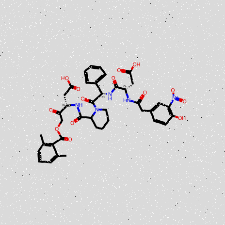 Cc1cccc(C)c1C(=O)OCC(=O)[C@H](CC(=O)O)NC(=O)C1CCCCN1C(=O)[C@@H](NC(=O)[C@H](CC(=O)O)NC(=O)Cc1ccc(O)c([N+](=O)[O-])c1)c1ccccc1